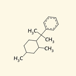 CC1CCC(C(C)(C)c2ccccc2)C(C)C1